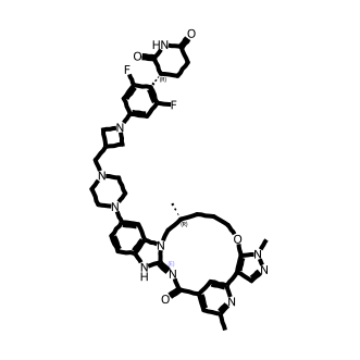 Cc1cc2cc(n1)-c1cnn(C)c1OCCC[C@@H](C)CN1/C(=N/C2=O)Nc2ccc(N3CCN(CC4CN(c5cc(F)c([C@H]6CCC(=O)NC6=O)c(F)c5)C4)CC3)cc21